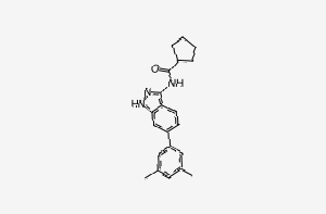 Cc1cc(C)cc(-c2ccc3c(NC(=O)C4CCCC4)n[nH]c3c2)c1